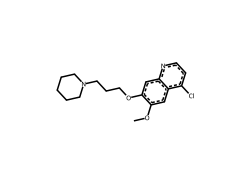 COc1cc2c(Cl)ccnc2cc1OCCCN1CCCCC1